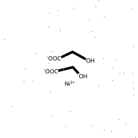 O=C([O-])CO.O=C([O-])CO.[Ni+2]